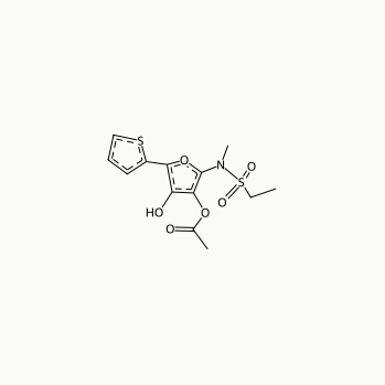 CCS(=O)(=O)N(C)c1oc(-c2cccs2)c(O)c1OC(C)=O